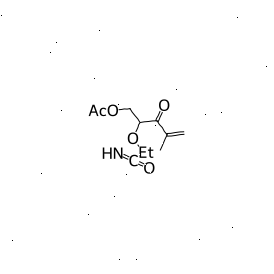 C=C(C)C(=O)C(COC(C)=O)OCC.N=C=O